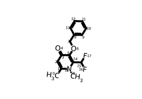 Cc1cc(=O)c(OCc2ccccc2)c(C(F)F)n1C